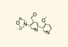 COc1ccncc1-c1cc(C=O)c(N2C[C@@H](C)O[C@@H](C)C2)cn1